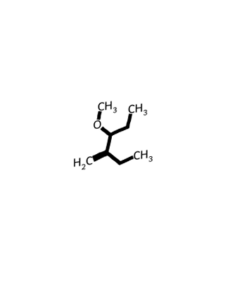 C=C(CC)C(CC)OC